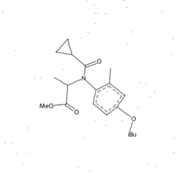 CCC(C)Oc1ccc(N(C(=O)C2CC2)C(C)C(=O)OC)c(C)c1